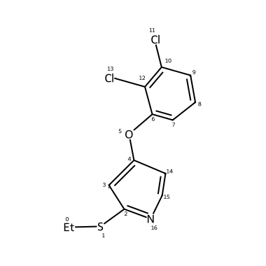 CCSc1[c]c(Oc2cccc(Cl)c2Cl)ccn1